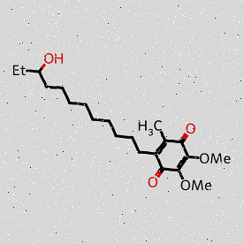 CCC(O)CCCCCCCCCC1=C(C)C(=O)C(OC)=C(OC)C1=O